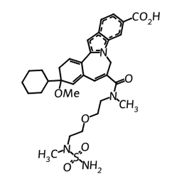 COC1(C2CCCCC2)C=C2C=C(C(=O)N(C)CCOCCN(C)S(N)(=O)=O)Cn3c(cc4ccc(C(=O)O)cc43)C2=CC1